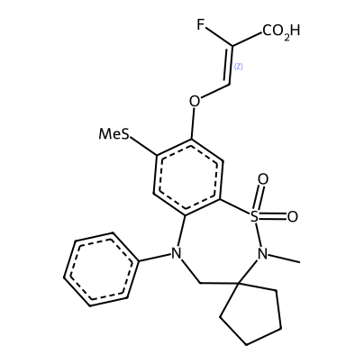 CSc1cc2c(cc1O/C=C(\F)C(=O)O)S(=O)(=O)N(C)C1(CCCC1)CN2c1ccccc1